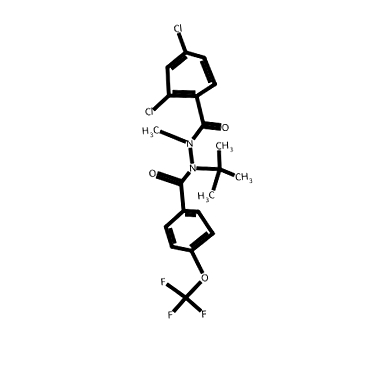 CN(C(=O)c1ccc(Cl)cc1Cl)N(C(=O)c1ccc(OC(F)(F)F)cc1)C(C)(C)C